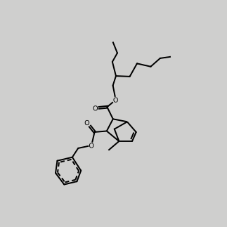 CCCCCC(CCC)COC(=O)C1C2C=CC(C)(C2)C1C(=O)OCc1ccccc1